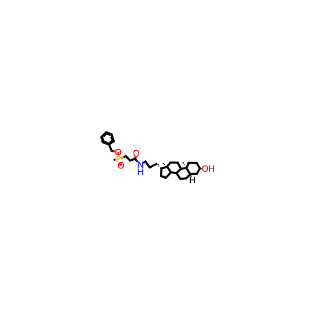 C[C@]12CCC3C(CC[C@@H]4C[C@H](O)CC[C@]34C)C1CC[C@@H]2CCCNC(=O)CCP(C)(=O)OCc1ccccc1